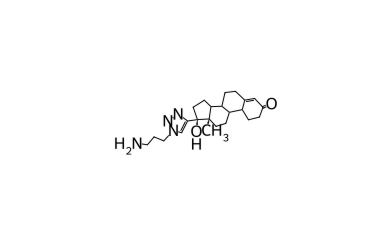 C[C@]12CCC3C4CCC(=O)C=C4CCC3C1CC[C@@]2(O)c1cn(CCCN)nn1